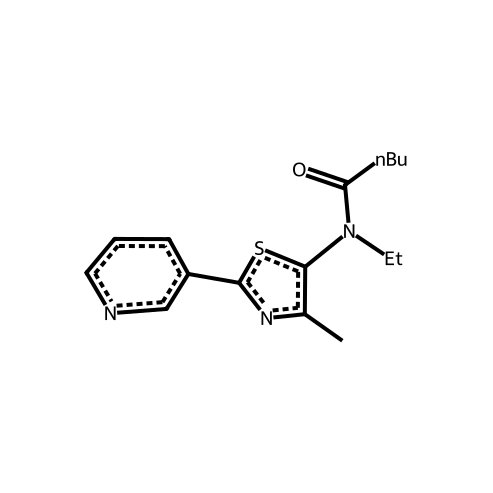 CCCCC(=O)N(CC)c1sc(-c2cccnc2)nc1C